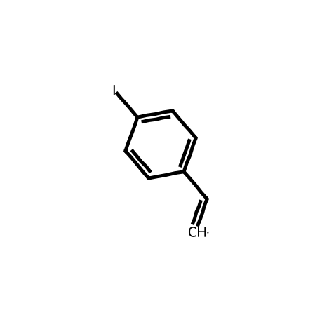 [CH]=Cc1ccc(I)cc1